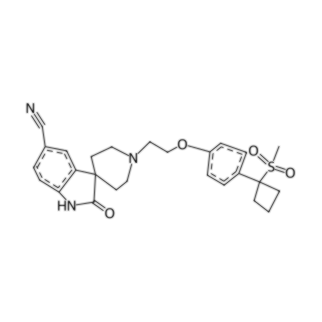 CS(=O)(=O)C1(c2ccc(OCCN3CCC4(CC3)C(=O)Nc3ccc(C#N)cc34)cc2)CCC1